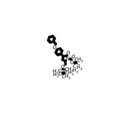 CC(C)(C)OC(=O)N1C(=O)C(c2ccc(OCc3ccccc3)cc2)CC1CO[Si](C)(C)C(C)(C)C